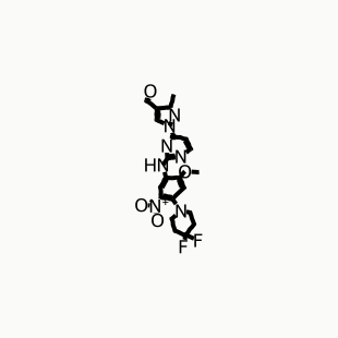 COc1cc(N2CCC(F)(F)CC2)c([N+](=O)[O-])cc1Nc1nccc(-n2cc(C=O)c(C)n2)n1